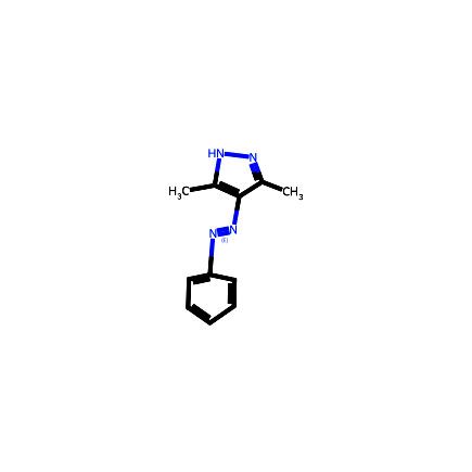 Cc1n[nH]c(C)c1/N=N/c1ccccc1